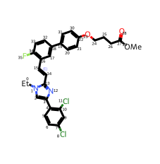 CCn1cc(-c2ccc(Cl)cc2Cl)nc1/C=C/c1cc(-c2ccc(OCCCC(=O)OC)cc2)ccc1F